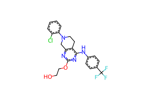 OCCOc1nc2c(c(Nc3ccc(C(F)(F)F)cc3)n1)CCN(c1ccccc1Cl)C2